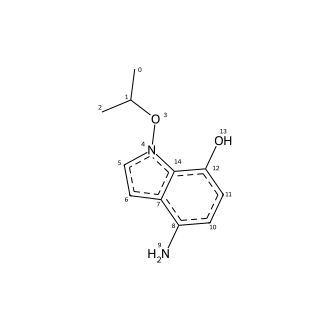 CC(C)On1ccc2c(N)ccc(O)c21